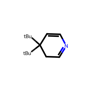 CC(C)(C)C1(C(C)(C)C)C=CN=CC1